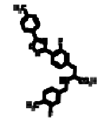 Cc1ccc(-c2nc(-c3ccc(CC(NCc4ccc(C)c(F)c4)C(=O)O)cc3F)no2)cc1